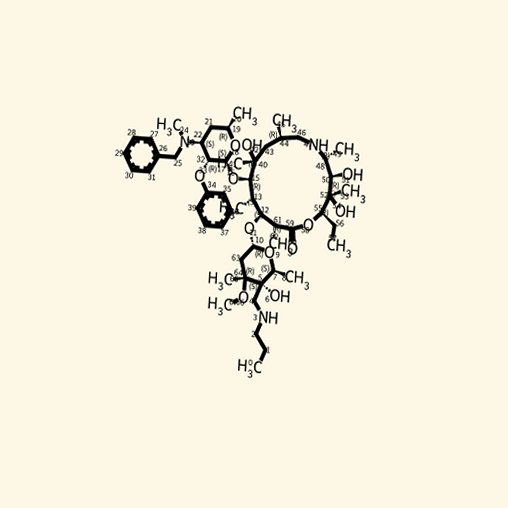 CCCNC[C@]1(O)[C@H](C)O[C@@H](O[C@H]2[C@H](C)[C@@H](O[C@@H]3O[C@H](C)C[C@H](N(C)Cc4ccccc4)[C@H]3Oc3ccccc3)[C@](C)(O)C[C@@H](C)CN[C@H](C)[C@@H](O)[C@](C)(O)[C@@H](CC)OC(=O)[C@@H]2C)C[C@@]1(C)OC